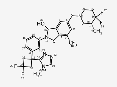 C[C@@H]1CN(Cc2cc3c(c(C(F)(F)F)c2)CN(c2cccc(C4(c5nncn5C)CC(F)(F)C4)c2)C3O)CCC1(F)F